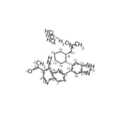 CC(=O)c1cnc2ccc(-c3ccc4[nH]cnc4c3)nc2c1N[C@H]1CC[C@H](CN(C)C)CC1.Cl.Cl.Cl